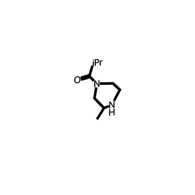 CC1CN(C(=O)C(C)C)CCN1